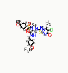 Cc1c(Cl)c(=O)nc2sc(N3CCN(S(=O)(=O)c4ccc(OC(F)(F)F)cc4)[C@@H](C(=O)NCc4ccc(OC(F)(F)F)cc4)C3)nn12